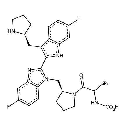 CC(C)C(NC(=O)O)C(=O)N1CCC[C@H]1Cn1c(-c2[nH]c3cc(F)ccc3c2C[C@@H]2CCCN2)nc2cc(F)ccc21